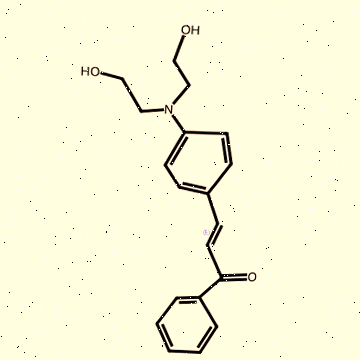 O=C(/C=C/c1ccc(N(CCO)CCO)cc1)c1ccccc1